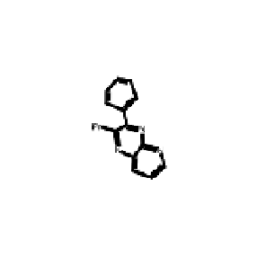 CC(C)c1nc2cccnc2nc1-c1ccccc1